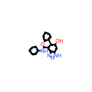 O=C(Nc1ccccc1)c1c(-c2ccccc2)c(O)cc2[nH]nnc12